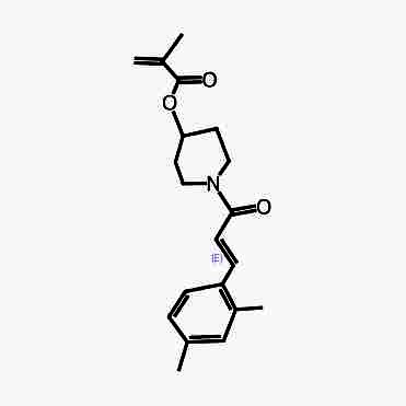 C=C(C)C(=O)OC1CCN(C(=O)/C=C/c2ccc(C)cc2C)CC1